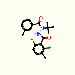 Cc1cccc(C(=O)N(NC(=O)c2c(F)ccc(C)c2F)C(C)(C)C)c1